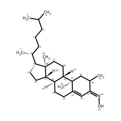 CC(C)CCC[C@@H](C)[C@H]1CC[C@H]2[C@@H]3CCC4=C/C(=N\O)C(C)C[C@]4(C)[C@H]3CC[C@]12C